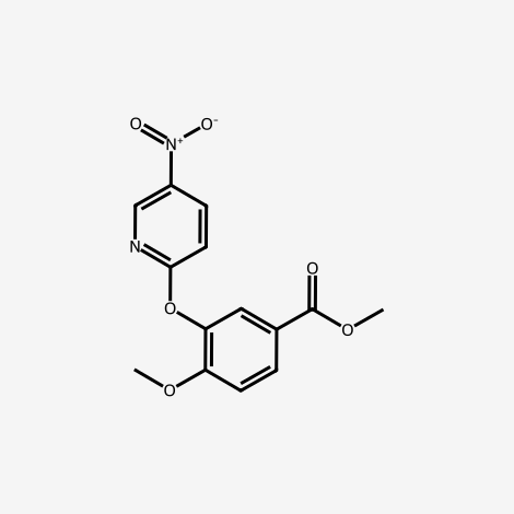 COC(=O)c1ccc(OC)c(Oc2ccc([N+](=O)[O-])cn2)c1